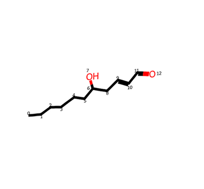 CCCCCCC(O)C/C=C/C=O